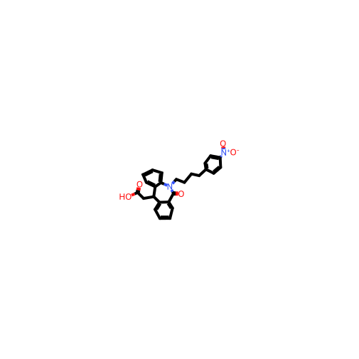 O=C(O)CC1c2ccccc2C(=O)N(CCCCc2ccc([N+](=O)[O-])cc2)c2ccccc21